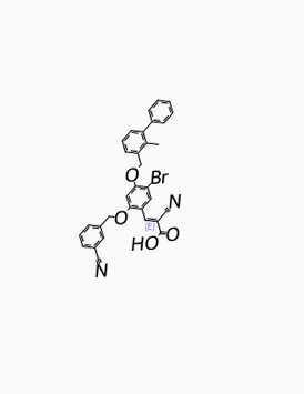 Cc1c(COc2cc(OCc3cccc(C#N)c3)c(/C=C(\C#N)C(=O)O)cc2Br)cccc1-c1ccccc1